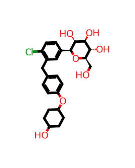 OC[C@H]1O[C@@H](c2ccc(Cl)c(Cc3ccc(OC4CCC(O)CC4)cc3)c2)[C@H](O)[C@@H](O)[C@@H]1O